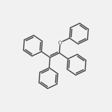 c1ccc(OC(=C(c2ccccc2)c2ccccc2)c2ccccc2)cc1